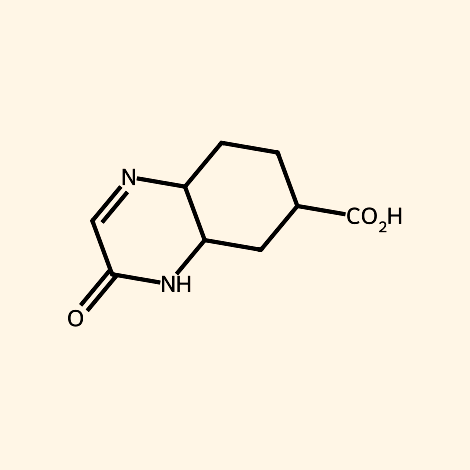 O=C1C=NC2CCC(C(=O)O)CC2N1